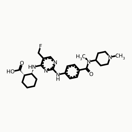 CN1CCC(N(C)C(=O)c2ccc(Nc3ncc(CF)c(N[C@@H]4CCCC[C@@H]4C(=O)O)n3)cc2)CC1